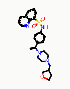 C=C(c1ccc(NS(=O)(=O)c2cccc3cccnc23)cc1)N1CCN(CC2CCOC2)CC1